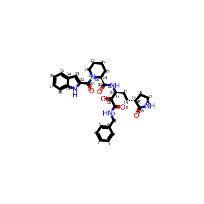 O=C(NCc1ccccc1)C(=O)[C@H](CC[C@@H]1CCNC1=O)NC(=O)[C@@H]1CCCCN1C(=O)c1cc2ccccc2[nH]1